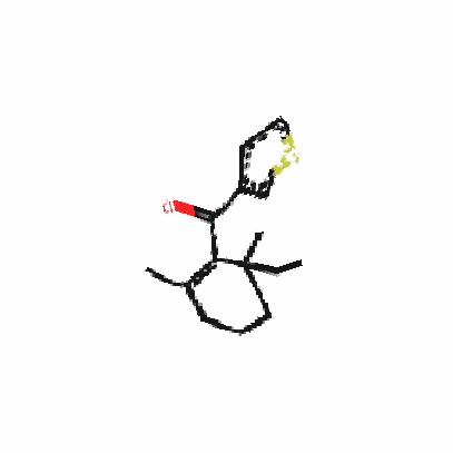 CC1=C(C(=O)c2ccsc2)C(C)(C)CCC1